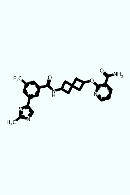 Cc1ncc(-c2cc(C(=O)NC3CC4(C3)CC(Oc3ncccc3C(N)=O)C4)cc(C(F)(F)F)c2)s1